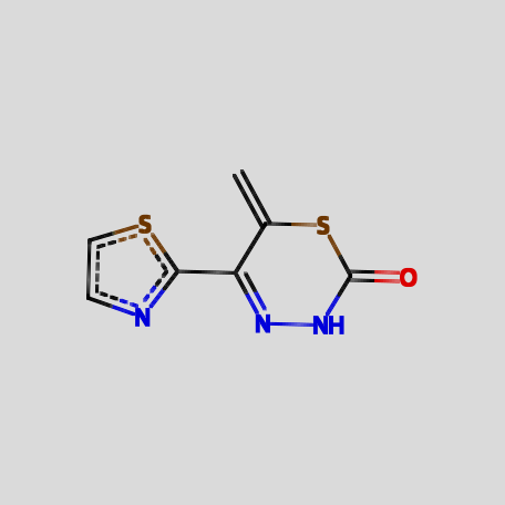 C=C1SC(=O)NN=C1c1nccs1